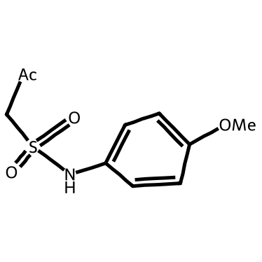 COc1ccc(NS(=O)(=O)CC(C)=O)cc1